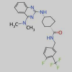 CN(C)c1nc(N[C@H]2CC[C@@H](C(=O)NCc3ccc(F)c(C(F)(F)F)c3)CC2)nc2ccccc12